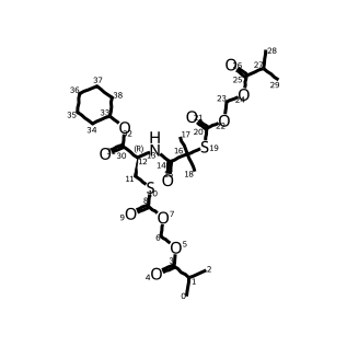 CC(C)C(=O)OCOC(=O)SC[C@H](NC(=O)C(C)(C)SC(=O)OCOC(=O)C(C)C)C(=O)OC1CCCCC1